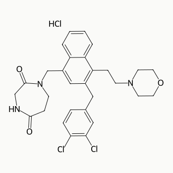 Cl.O=C1CCN(Cc2cc(Cc3ccc(Cl)c(Cl)c3)c(CCN3CCOCC3)c3ccccc23)C(=O)CN1